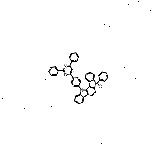 O=P1(c2ccccc2)c2ccccc2-c2c1ccc1c3ccccc3n(-c3ccc(-c4nc(-c5ccccc5)nc(-c5ccccc5)n4)cc3)c21